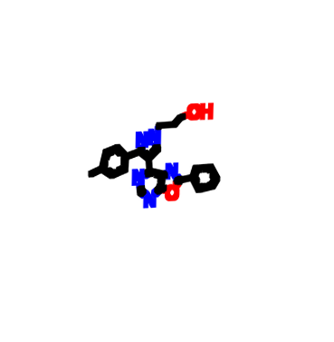 Cc1ccc(-c2nn(CCCO)cc2-c2ncnc3oc(-c4ccccc4)nc23)cc1